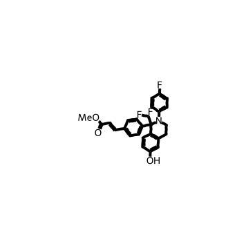 COC(=O)/C=C/c1ccc(C2(C(F)F)c3ccc(O)cc3CCN2c2ccc(F)cc2)cc1